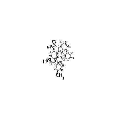 Cc1cc(-c2n[nH]c3cc4[nH]c(=O)cc(C(c5ccccc5)(c5ccccc5)c5ccccc5)c4cc23)ccn1